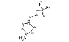 NC1CCN(CCCC(F)(F)F)CC1